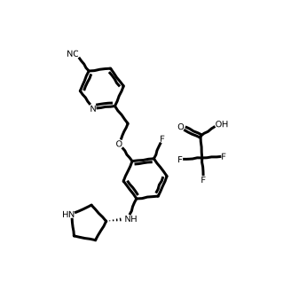 N#Cc1ccc(COc2cc(N[C@@H]3CCNC3)ccc2F)nc1.O=C(O)C(F)(F)F